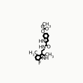 COC(=O)Oc1ccc2cc(C(=O)NCCc3c(C)[nH]c4c(F)ccc(C)c34)[nH]c2c1